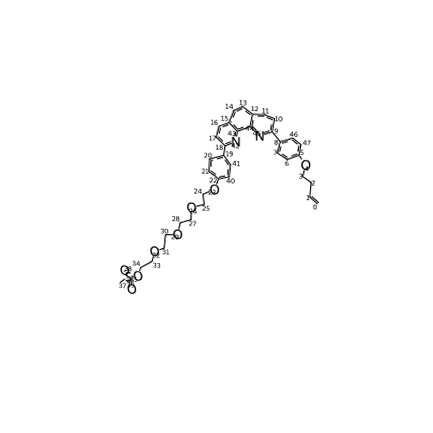 C=CCCOc1ccc(-c2ccc3ccc4ccc(-c5ccc(OCCOCCOCCOCCOS(C)(=O)=O)cc5)nc4c3n2)cc1